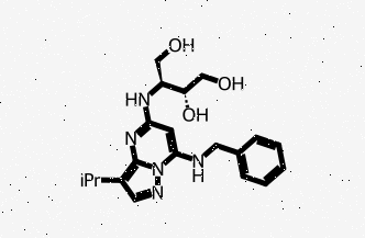 CC(C)c1cnn2c(NCc3ccccc3)cc(N[C@@H](CO)[C@@H](O)CO)nc12